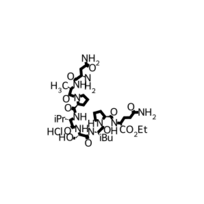 CCOC(=O)[C@H](CCC(N)=O)NC(=O)[C@@H]1CCCN1C(=O)[C@@H](NC(=O)[C@H](CO)NC(=O)[C@@H](NC(=O)[C@@H]1CCCN1C(=O)[C@H](C)NC(=O)[C@@H](N)CC(N)=O)C(C)C)[C@@H](C)CC.Cl